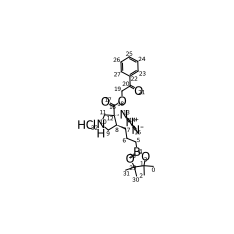 CC1(C)OB(CCC[C@H]2CNC[C@@]2(N=[N+]=[N-])C(=O)OCC(=O)c2ccccc2)OC1(C)C.Cl